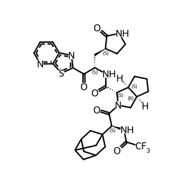 O=C1NCC[C@H]1C[C@H](NC(=O)[C@@H]1[C@H]2CCC[C@H]2CN1C(=O)[C@@H](NC(=O)C(F)(F)F)C12CC3CC(C1)C(C3)C2)C(=O)c1nc2cccnc2s1